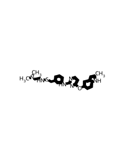 Cc1cc2cc(Oc3ccnc(Nc4cccc(CSNCCN(C)C)c4)n3)ccc2[nH]1